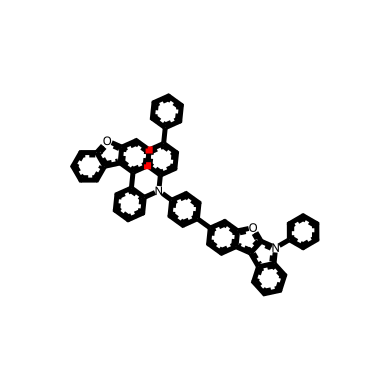 c1ccc(-c2ccc(N(c3ccc(-c4ccc5c(c4)oc4c5c5ccccc5n4-c4ccccc4)cc3)c3ccccc3-c3cccc4oc5ccccc5c34)cc2)cc1